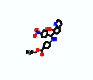 CCOC(=O)c1ccc(NC(c2ccc([N+](=O)[O-])cc2)c2ccc3cccnc3c2O)cc1